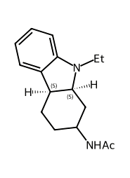 CCN1c2ccccc2[C@@H]2CCC(NC(C)=O)C[C@@H]21